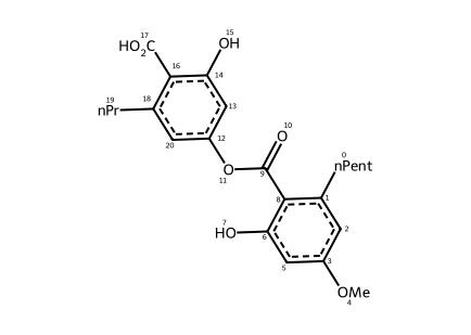 CCCCCc1cc(OC)cc(O)c1C(=O)Oc1cc(O)c(C(=O)O)c(CCC)c1